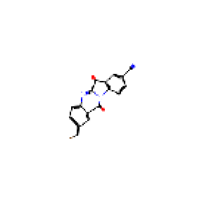 N#Cc1ccc2c(c1)C(=O)c1nc3ccc(CBr)cc3c(=O)n1-2